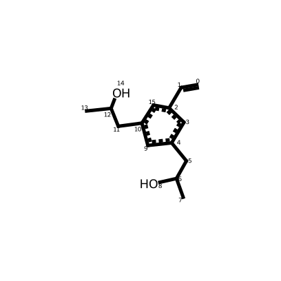 C=Cc1cc(CC(C)O)cc(CC(C)O)c1